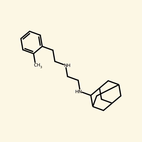 Cc1ccccc1CCNCCNC1C2CC3CC(C2)CC1C3